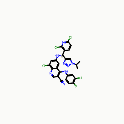 CC(C)n1cc([C@@H](Nc2cc(Cl)c3ncc(C#N)c(Nc4ccc(F)c(Cl)c4)c3c2)c2ccc(Cl)nc2Cl)nn1